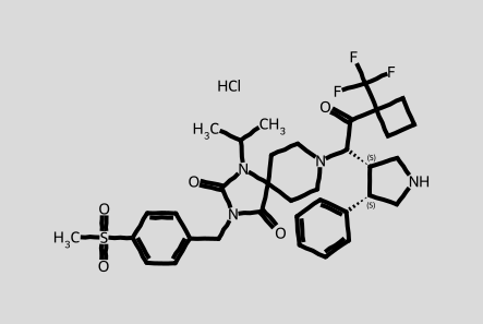 CC(C)N1C(=O)N(Cc2ccc(S(C)(=O)=O)cc2)C(=O)C12CCN(C(C(=O)C1(C(F)(F)F)CCC1)[C@@H]1CNC[C@@H]1c1ccccc1)CC2.Cl